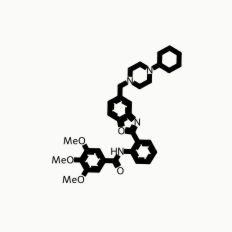 COc1cc(C(=O)Nc2ccccc2-c2nc3cc(CN4CCN(C5CCCCC5)CC4)ccc3o2)cc(OC)c1OC